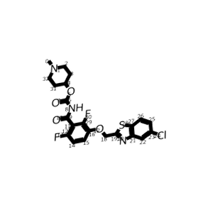 CN1CCC(OC(=O)NC(=O)c2c(F)ccc(OCc3nc4cc(Cl)ccc4s3)c2F)CC1